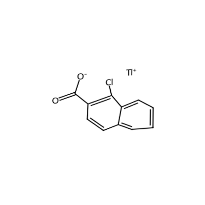 O=C([O-])c1ccc2ccccc2c1Cl.[Tl+]